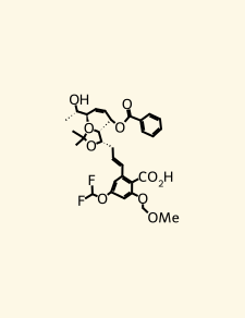 COCOc1cc(OC(F)F)cc(/C=C/C[C@@H]2OC(C)(C)O[C@@H]2C(/C=C\[C@@H](C)[C@H](C)O)OC(=O)c2ccccc2)c1C(=O)O